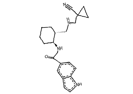 N#CC1(CNC[C@H]2CCCC[C@@H]2NC(=O)c2ccc3[nH]ccc3c2)CC1